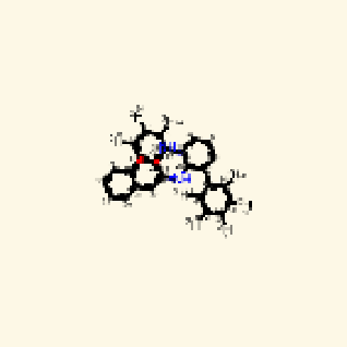 [2H]c1c([2H])c([2H])c(-c2cccc(-c3c([2H])c([2H])c([2H])c([2H])c3[2H])c2Nc2cc3ccccc3cc2N)c([2H])c1[2H]